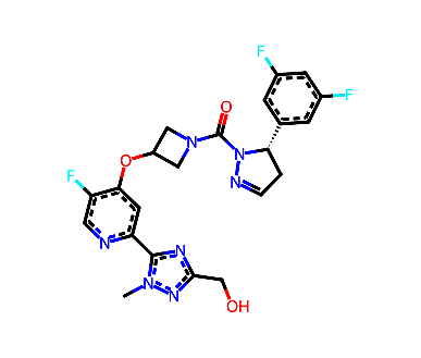 Cn1nc(CO)nc1-c1cc(OC2CN(C(=O)N3N=CC[C@H]3c3cc(F)cc(F)c3)C2)c(F)cn1